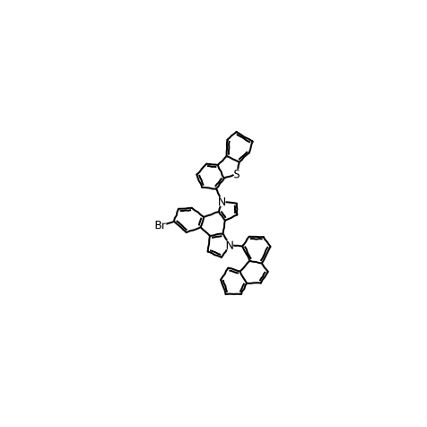 Brc1ccc2c(c1)c1ccn(-c3cccc4ccc5ccccc5c34)c1c1ccn(-c3cccc4c3sc3ccccc34)c21